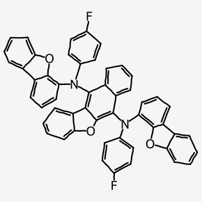 Fc1ccc(N(c2cccc3c2oc2ccccc23)c2c3ccccc3c(N(c3ccc(F)cc3)c3cccc4c3oc3ccccc34)c3c2oc2ccccc23)cc1